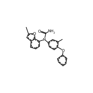 Cc1cc2cccc(N(C(N)=O)c3ccc(Oc4ccccc4)c(C)c3)c2o1